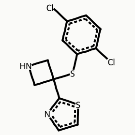 Clc1ccc(Cl)c(SC2(c3nccs3)CNC2)c1